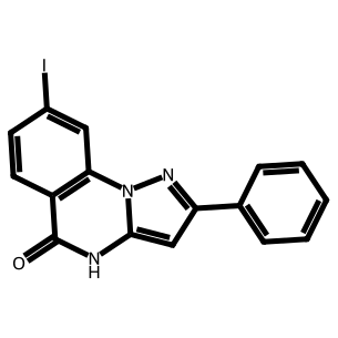 O=c1[nH]c2cc(-c3ccccc3)nn2c2cc(I)ccc12